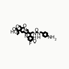 CC[C@@]1(O)C(=O)OCc2c1cc1n(c2=O)Cc2c-1nc1cc(F)c(OC)cc1c2CNC(=O)NCc1ccc(N)cc1